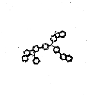 c1ccc(-n2c3cc(-c4ccc(N(c5ccc(-c6ccc7ccccc7c6)cc5)c5ccc6oc7ccccc7c6c5)cc4)ccc3c3ccc4ccccc4c32)cc1